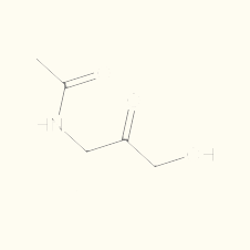 CC(=O)N[C@@H](C)C(=O)CO